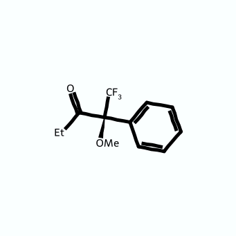 CCC(=O)[C@@](OC)(c1ccccc1)C(F)(F)F